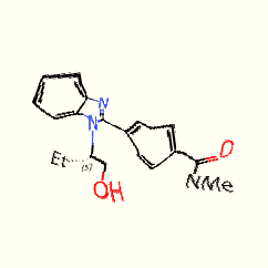 CC[C@@H](CO)n1c(-c2ccc(C(=O)NC)cc2)nc2ccccc21